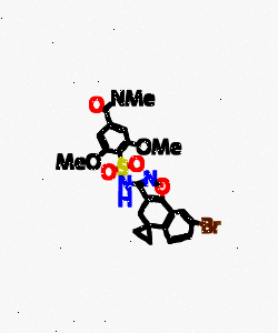 CNC(=O)c1cc(OC)c(S(=O)(=O)Nc2noc3c2CC2(CC2)c2ccc(Br)cc2-3)c(OC)c1